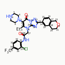 CCc1c(N2CCNCC2)c(=O)n2nc(-c3ccc4c(c3)CCOC4)nc2n1CC(=O)Nc1ccc(C(F)(F)F)cc1Cl